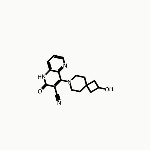 N#Cc1c(N2CCC3(CC2)CC(O)C3)c2ncccc2[nH]c1=O